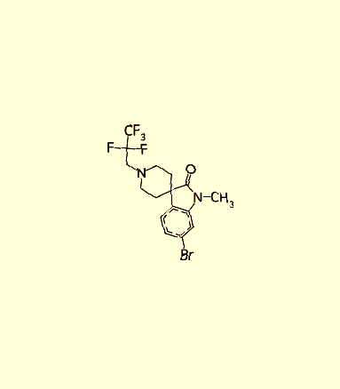 CN1C(=O)C2(CCN(CC(F)(F)C(F)(F)F)CC2)c2ccc(Br)cc21